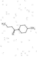 CCCC(=O)N1CCC(C)CC1